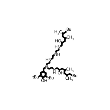 CCC(C)CC(C)CC(C)CC(O)CNCCNCCNCCN(CCNCC(O)CC(C)CC(C)CC(C)CC)Cc1cc(C(C)(C)C)c(O)c(C(C)(C)C)c1